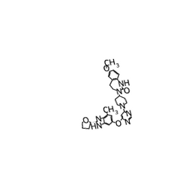 COc1ccc2c(c1)CCN(C1CCN(c3cc(Oc4cc(C)c5nc([C@@H]6CCCO6)[nH]c5c4)ncn3)CC1)C(=O)N2